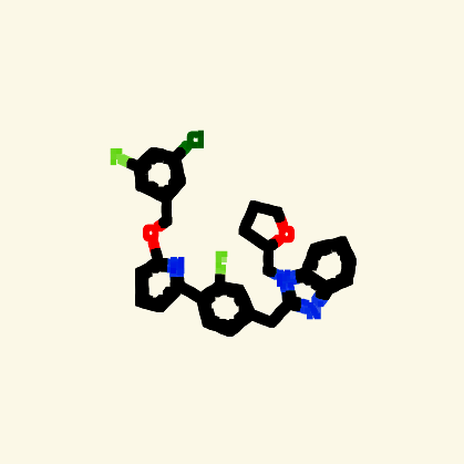 Fc1cc(Cl)cc(COc2cccc(-c3ccc(Cc4nc5ccccc5n4CC4CCCO4)cc3F)n2)c1